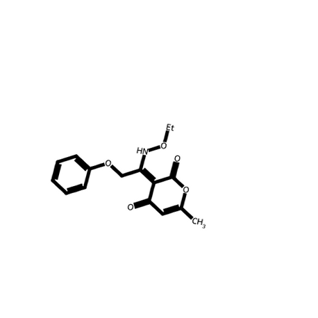 CCONC(COc1ccccc1)=C1C(=O)C=C(C)OC1=O